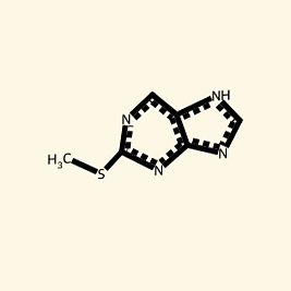 CSc1ncc2[nH]cnc2n1